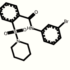 O=C(Nc1cccc(Br)c1)c1ccccc1S(=O)(=O)N1CCCCC1